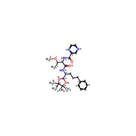 COC(C)C(NC(=O)c1cnccn1)C(=O)NC(CCCc1ccccc1)B1OC(C)(C)C(C)(C)O1